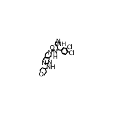 O=C(NC(c1ccc(Cl)c(Cl)c1)c1ccn[nH]1)N1CCc2cnc(NC3CCOCC3)nc2C1